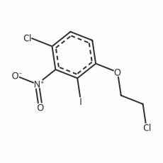 O=[N+]([O-])c1c(Cl)ccc(OCCCl)c1I